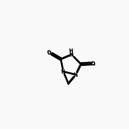 O=c1[nH]c(=O)n2n1C2